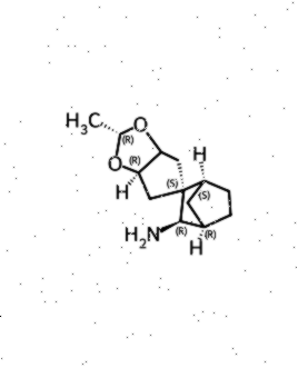 C[C@@H]1OC2C[C@]3(C[C@H]2O1)[C@H]1CC[C@H](C1)[C@H]3N